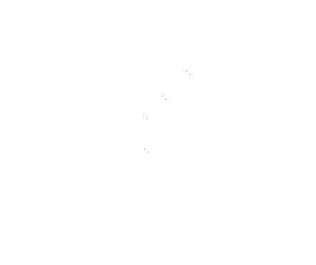 O=C(C1CN(S(=O)(=O)c2cccc(Cl)c2Cl)C1)N1CCN(c2ccncc2)CC1